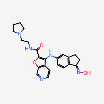 O=C(NCCN1CCCC1)c1oc2cnccc2c1Nc1ccc2c(c1)CC/C2=N\O